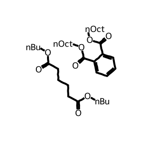 CCCCCCCCOC(=O)c1ccccc1C(=O)OCCCCCCCC.CCCCOC(=O)CCCCC(=O)OCCCC